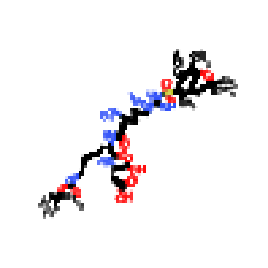 Cc1c(C)c(S(=O)(=O)NC(=N)NCCC[C@H](N)C(=O)N[C@@H](CCCCNC(=O)OC(C)(C)C)C(=O)N[C@@H](CC(=O)O)C(=O)O)c(C)c2c1OC(C)(C)C2